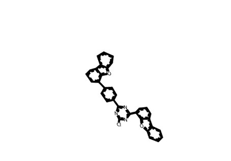 Clc1nc(-c2ccc(-c3cccc4c3oc3ccccc34)cc2)nc(-c2cccc3c2oc2ccccc23)n1